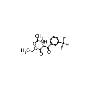 CCOC(=O)C(NC(C)=O)C(=O)c1cccc(C(F)(F)F)c1